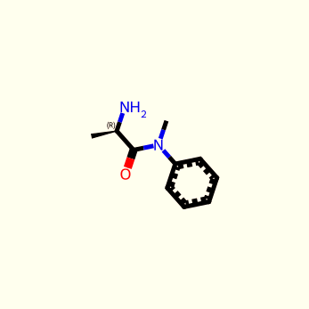 C[C@@H](N)C(=O)N(C)c1ccccc1